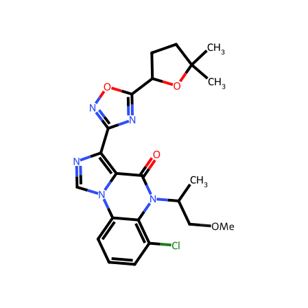 COCC(C)n1c(=O)c2c(-c3noc(C4CCC(C)(C)O4)n3)ncn2c2cccc(Cl)c21